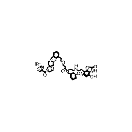 COc1cccc(CN(CCNCCc2ccc(O)c3c2OCC(=O)N3)C(=O)CCOCCc2cccc(CN3CCC4(CC3)CN(C(=O)c3csc(C(C)C)n3)CCO4)c2F)c1